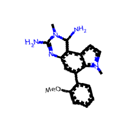 COc1ccccc1-c1cc2c(c3ccn(C)c13)C(N)N(C)C(N)=N2